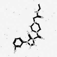 CCNC(=O)CN1CCN(C(=O)n2nnn(-c3cccc(Cl)c3)c2=O)CC1